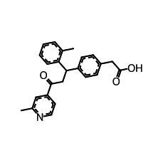 Cc1cc(C(=O)CC(c2ccc(CC(=O)O)cc2)c2ccccc2C)ccn1